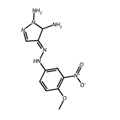 COc1ccc(NN=C2C=NN(N)C2N)cc1[N+](=O)[O-]